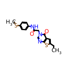 CCc1cc2c(=O)n(CC(=O)Nc3ccc(SC)cc3)cnc2s1